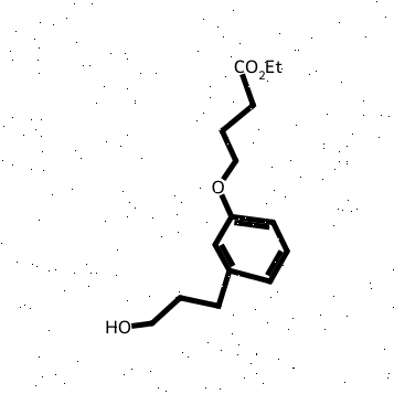 CCOC(=O)CCCOc1cccc(CCCO)c1